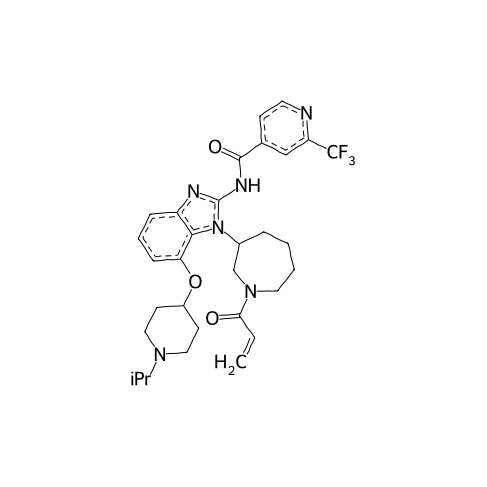 C=CC(=O)N1CCCCC(n2c(NC(=O)c3ccnc(C(F)(F)F)c3)nc3cccc(OC4CCN(C(C)C)CC4)c32)C1